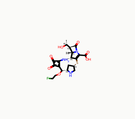 C[C@@H](O)[C@H]1C(=O)N2C(C(=O)O)=C(S[C@@H]3CN[C@H](C(OCCF)c4c(N)c(=O)c4=O)C3)[C@H](C)[C@H]12